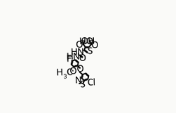 COc1cc(F)c(NC(=O)Nc2csc(C(=O)O)c2C(=O)O)cc1OCc1ccc(Cl)c2scnc12